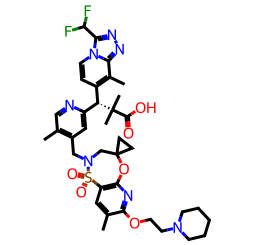 Cc1cnc([C@H](c2ccn3c(C(F)F)nnc3c2C)C(C)(C)C(=O)O)cc1CN1CC2(CC2)Oc2nc(OCCN3CCCCC3)c(C)cc2S1(=O)=O